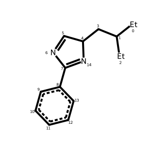 CCC(CC)CC1C=NC(c2ccccc2)=N1